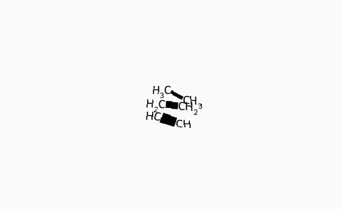 C#C.C=C.CC